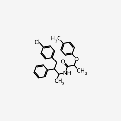 Cc1ccc(OC(C)C(=O)NC(C)C(Cc2ccc(Cl)cc2)c2ccccc2)cc1